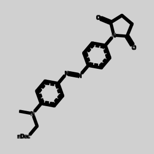 [CH2]CCCCCCCCCCN(C)c1ccc(N=Nc2ccc(N3C(=O)CCC3=O)cc2)cc1